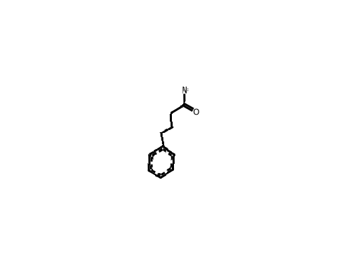 [N]C(=O)CCCc1ccccc1